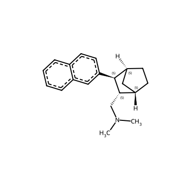 CN(C)C[C@H]1[C@H]2CC[C@@H](C2)[C@@H]1c1ccc2ccccc2c1